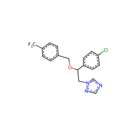 FC(F)(F)c1ccc(COC(Cn2cncn2)c2ccc(Cl)cc2)cc1